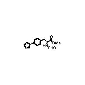 COC(=O)[C@H](Cc1ccc(-n2cccc2)cc1)NC=O